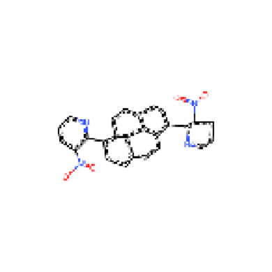 O=[N+]([O-])c1cccnc1-c1ccc2ccc3c(-c4ncccc4[N+](=O)[O-])ccc4ccc1c2c43